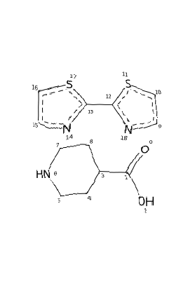 O=C(O)C1CCNCC1.c1csc(-c2nccs2)n1